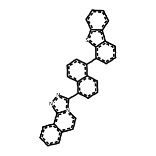 c1ccc2c(c1)ccn1c(-c3cccc4c(-c5cccc6c5sc5ccccc56)cccc34)nnc21